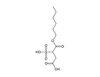 CCCCCCOC(=O)C(CC(=O)O)S(=O)(=O)O